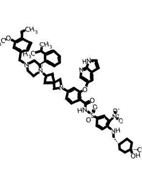 CCc1ccc(CN2CCN(C3CC4(C3)CN(c3ccc(C(=O)NS(=O)(=O)c5ccc(NC[C@H]6CC[C@](C)(O)CC6)c([N+](=O)[O-])c5)c(Oc5cnc6[nH]ccc6c5)c3)C4)[C@H](c3ccccc3C(C)C)C2)cc1OC